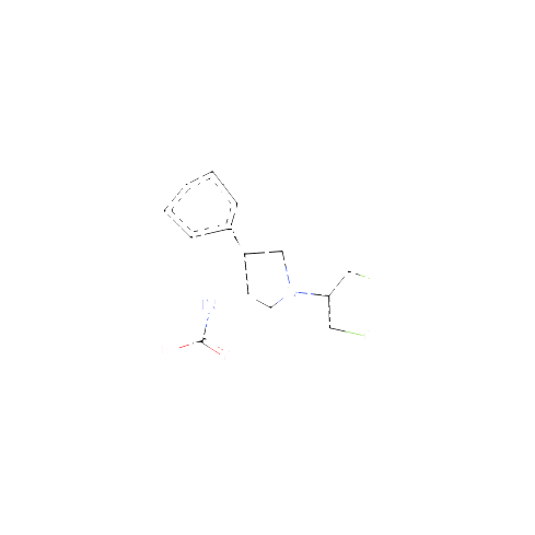 O=C(O)N[C@H]1CN(C(CF)CF)C[C@@H]1c1ccccc1